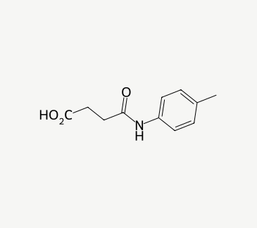 Cc1ccc(NC(=O)CCC(=O)O)cc1